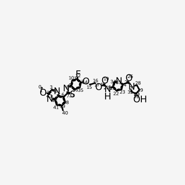 COc1cnc2c(-c3nc4cc(F)c(OCCOC(=O)Nc5ccc(C(=O)N6CC[C@H](O)C6)nc5)cc4s3)cc(C)cc2n1